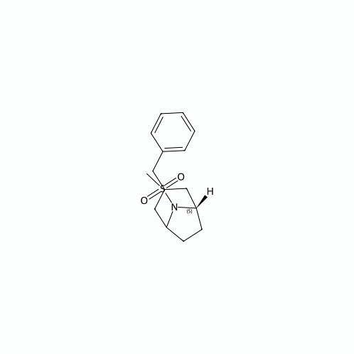 CS(=O)(=O)N1C2CC[C@H]1CC(Cc1ccccc1)C2